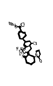 CC(C)(C)OC(=O)c1ccc(-c2cc(Cl)c(Cc3c4c(nn3S(=O)(=O)C(F)(F)F)CCC[C@H]4N3CCCC3=O)c(Cl)c2)cc1